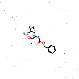 CC(C)C[C@@H](C=O)[N]C(=O)OCc1ccccc1